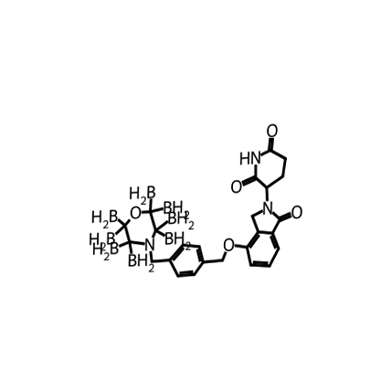 BC1(B)OC(B)(B)C(B)(B)N(Cc2ccc(COc3cccc4c3CN(C3CCC(=O)NC3=O)C4=O)cc2)C1(B)B